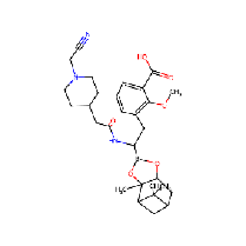 COc1c(CC(NC(=O)CC2CCN(CC#N)CC2)B2OC3CC4CC(C4(C)C)C3(C)O2)cccc1C(=O)O